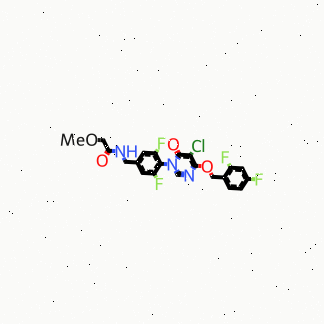 COCC(=O)NCc1cc(F)c(-n2cnc(OCc3ccc(F)cc3F)c(Cl)c2=O)c(F)c1